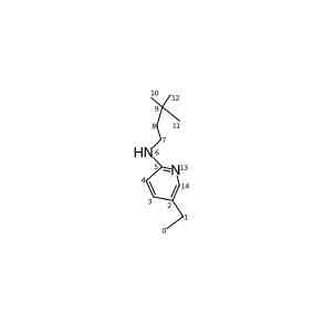 CCc1ccc(NCCC(C)(C)C)nc1